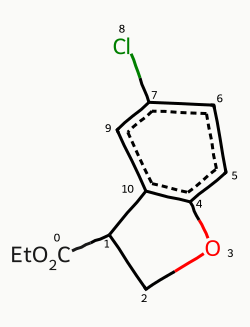 CCOC(=O)C1COc2ccc(Cl)cc21